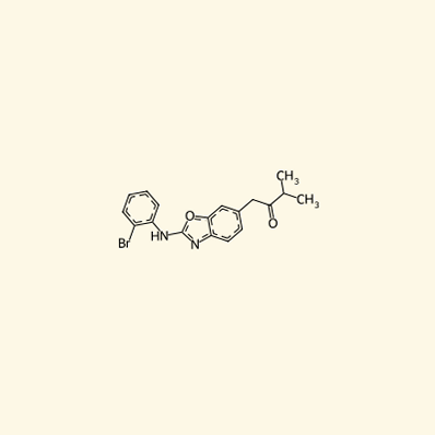 CC(C)C(=O)Cc1ccc2nc(Nc3ccccc3Br)oc2c1